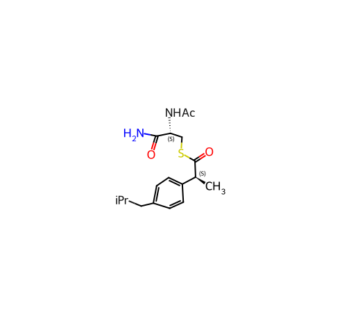 CC(=O)N[C@H](CSC(=O)[C@@H](C)c1ccc(CC(C)C)cc1)C(N)=O